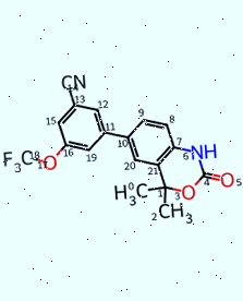 CC1(C)OC(=O)Nc2ccc(-c3cc(C#N)cc(OC(F)(F)F)c3)cc21